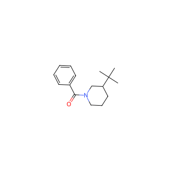 CC(C)(C)C1CCCN(C(=O)c2ccccc2)C1